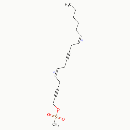 CCCCC/C=C\CC#CC/C=C\CC#CCOS(C)(=O)=O